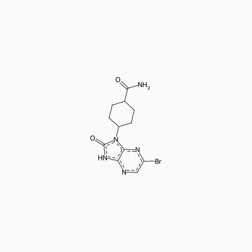 NC(=O)C1CCC(n2c(=O)[nH]c3ncc(Br)nc32)CC1